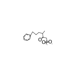 COP(C)(=O)CC(=O)C(C)CCCc1ccccc1